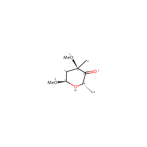 CO[C@H]1C[C@@](C)(OC)C(=O)[C@H](C)O1